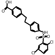 O=C(O)c1ccc(CCc2ccc(NS(=O)(=O)c3cc(Cl)ccc3Cl)cc2)cc1